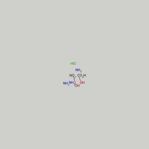 Cl.N.N.N.O=C(O)O.O=[N+]([O-])O